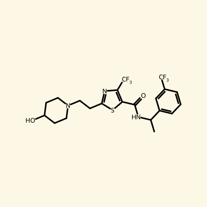 CC(NC(=O)c1sc(CCN2CCC(O)CC2)nc1C(F)(F)F)c1cccc(C(F)(F)F)c1